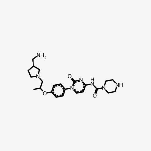 CC(CN1CC[C@@H](CN)C1)Oc1ccc(-n2ccc(NC(=O)N3CCNCC3)nc2=O)cc1